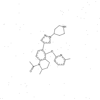 CC(=O)N1c2ccc(-c3cnn(C4CCNCC4)c3)c(Oc3cccc(C)n3)c2CCC1C